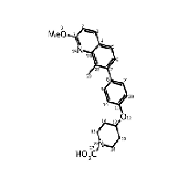 COc1ccc2ccc(-c3ccc(OC4CCN(C(=O)O)CC4)cc3)c(C)c2n1